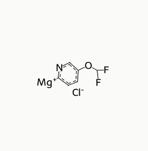 FC(F)Oc1cc[c]([Mg+])nc1.[Cl-]